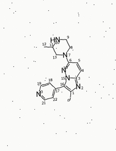 Cc1nc2ccc(N3CCNC(C)C3)nn2c1-c1ccncc1